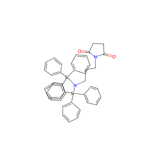 O=C1CCC(=O)N1CCCN([Si](c1ccccc1)(c1ccccc1)c1ccccc1)[Si](c1ccccc1)(c1ccccc1)c1ccccc1